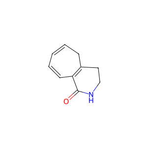 O=C1NCCC2=C1C=CC=CC2